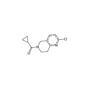 O=C(C1CC1)N1CCc2nc(Cl)ccc2C1